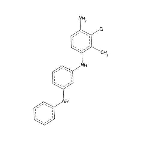 Cc1c(Nc2cccc(Nc3ccccc3)c2)ccc(N)c1Cl